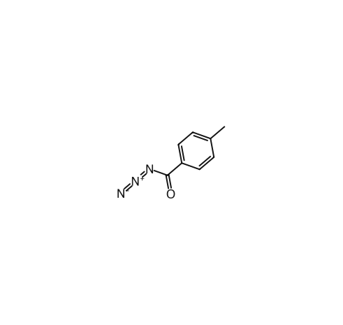 Cc1ccc(C(=O)N=[N+]=[N-])cc1